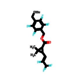 COCc1c(F)c(F)c(COC(=O)C2C(C=C(F)C(F)F)C2(C)C)c(F)c1F